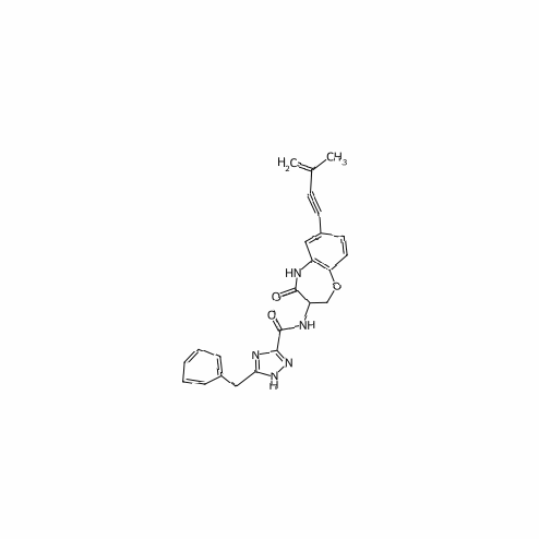 C=C(C)C#Cc1ccc2c(c1)NC(=O)C(NC(=O)c1n[nH]c(Cc3ccccc3)n1)CO2